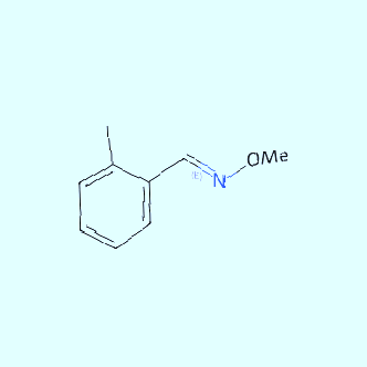 CO/N=C/c1ccccc1C